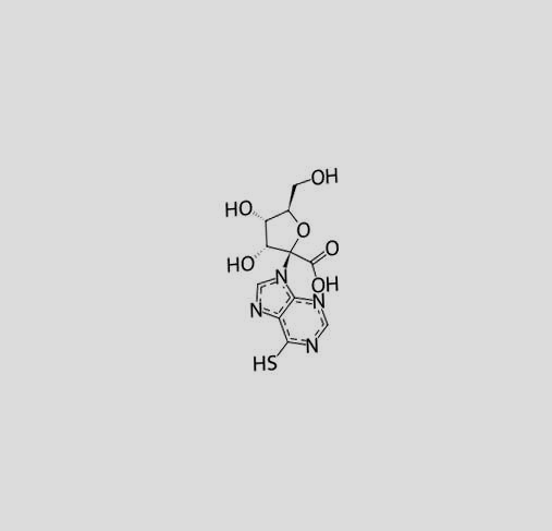 O=C(O)[C@@]1(n2cnc3c(S)ncnc32)O[C@H](CO)[C@@H](O)[C@H]1O